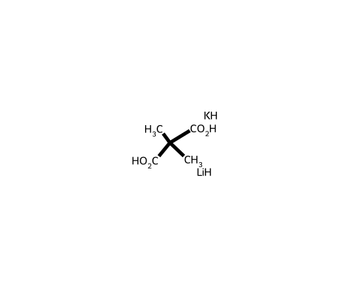 CC(C)(C(=O)O)C(=O)O.[KH].[LiH]